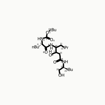 CCCC[C@H](NC(=O)OC(C)(C)C)C(=O)NC(CC(C)C)C(O)CC(=O)N[C@H](CO)C(C)CC